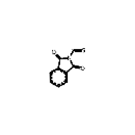 O=C1c2ccccc2C(=O)N1[C]=S